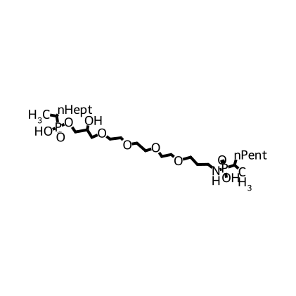 CCCCCCCC(C)P(=O)(O)OCC(O)COCCOCCOCCOCCCNP(=O)(O)C(C)CCCCC